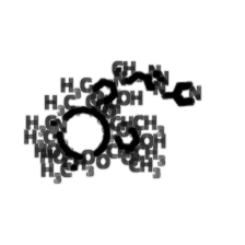 CC[C@H]1OC(=O)[C@H](C)[C@@H](C2C[C@@](C)(OC)[C@@H](O)[C@H](C)O2)[C@H](C)[C@@H](O[C@@H]2O[C@H](C)C[C@H](N(C)CCc3cn(Cc4ccncc4)nn3)[C@H]2O)[C@](C)(O)C[C@@H](C)CN(C)[C@H](C)[C@@H](O)[C@]1(C)O